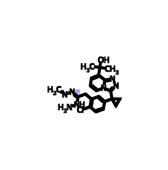 C=N/N=C(/Cc1cc(C2(c3nnc4c(C(C)(C)O)cccn34)CC2)ccc1Cl)NN